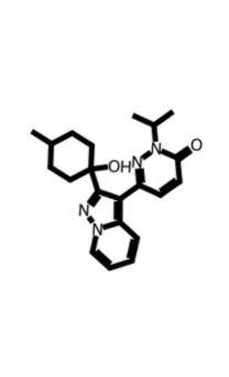 CC1CCC(O)(c2nn3ccccc3c2-c2ccc(=O)n(C(C)C)n2)CC1